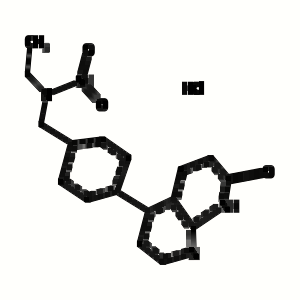 CCN(Cc1ccc(-c2ccnc3[nH]c(=O)ccc23)cc1)[SH](=O)=O.Cl